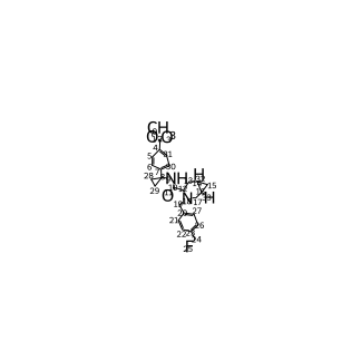 COC(=O)c1ccc(C2(NC(=O)C3C[C@@H]4C[C@@H]4CN3Cc3ccc(CF)cc3)CC2)cc1